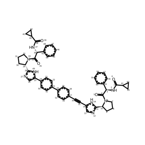 O=C(N[C@@H](C(=O)N1CCC[C@H]1c1ncc(C#Cc2ccc(-c3ccc(-c4cnc([C@@H]5CCCN5C(=O)[C@H](NC(=O)C5CC5)c5ccccc5)[nH]4)cc3)cc2)[nH]1)c1ccccc1)C1CC1